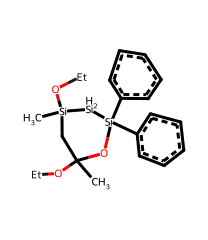 CCOC1(C)C[Si](C)(OCC)[SiH2][Si](c2ccccc2)(c2ccccc2)O1